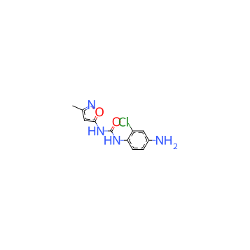 Cc1cc(NC(=O)Nc2ccc(N)cc2Cl)on1